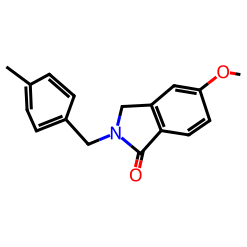 COc1ccc2c(c1)CN(Cc1ccc(C)cc1)C2=O